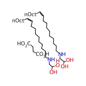 CCCCCCCC/C=C\CCCCCCCCCNCC(O)O.CCCCCCCC/C=C\CCCCCCCCCNCC(O)O.O=C(O)CCC(=O)O